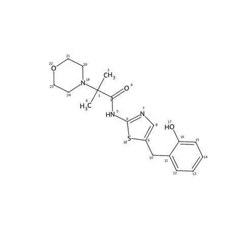 CC(C)(C(=O)Nc1ncc(Cc2ccccc2O)s1)N1CCOCC1